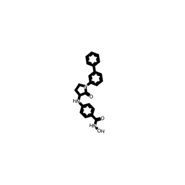 O=C(NO)c1ccc(NC2CCN(c3cccc(-c4ccccc4)c3)C2=O)cc1